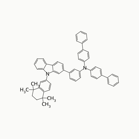 CC1(C)CCC(C)(C)c2cc(-n3c4ccccc4c4ccc(-c5cccc(N(c6ccc(-c7ccccc7)cc6)c6ccc(-c7ccccc7)cc6)c5)cc43)ccc21